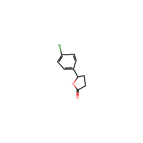 O=C1CCC(c2ccc(Br)cc2)O1